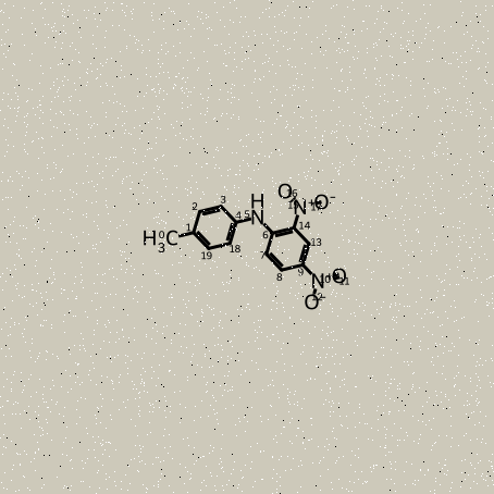 Cc1ccc(Nc2ccc([N+](=O)[O-])cc2[N+](=O)[O-])cc1